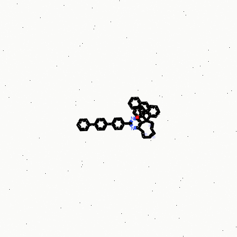 C1=C\C=C\C(c2ccccc2)(c2ccccc2)c2c(nc(-c3ccc(-c4ccc(-c5ccccc5)cc4)cc3)nc2-c2cccc3ccccc23)/C=C/1